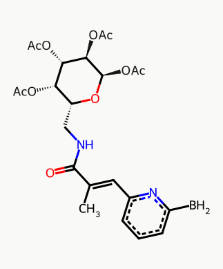 Bc1cccc(/C=C(\C)C(=O)NC[C@H]2O[C@H](OC(C)=O)[C@H](OC(C)=O)[C@@H](OC(C)=O)[C@H]2OC(C)=O)n1